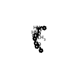 CN1C(=O)[C@@H](NC(=O)c2n[nH]c(Cc3ccccc3)n2)COc2ccc(N3CCC4(CCCN(Cc5ccccc5)C4=O)CC3)cc21